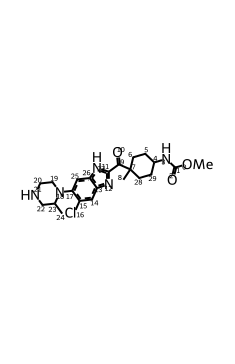 COC(=O)NC1CCC(C)(C(=O)c2nc3cc(Cl)c(N4CCNCC4C)cc3[nH]2)CC1